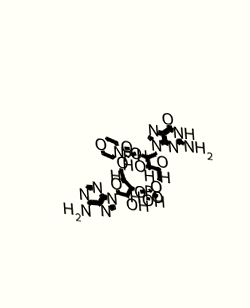 Nc1nc2c(ncn2[C@@H]2O[C@@H]3COP(=O)(O)O[C@@H]4[C@H](O)[C@H](n5cnc6c(N)ncnc65)O[C@@H]4COP(=O)(N4CCOCC4)O[C@H]2[C@H]3O)c(=O)[nH]1